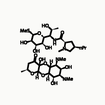 CCC[C@@H]1C[C@@H](C(=O)N[C@@H]([C@H]2O[C@H](SC)[C@H](O)[C@@H](O)[C@H]2O)[C@@H](C)O)N(C)C1.CN[C@@H]1[C@H](O)[C@H](NC)[C@H]2O[C@@]3(O)C(=O)C[C@@H](C)O[C@H]3O[C@@H]2[C@H]1O